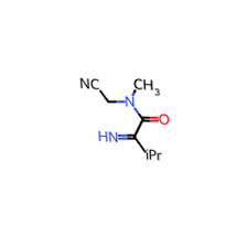 CC(C)C(=N)C(=O)N(C)CC#N